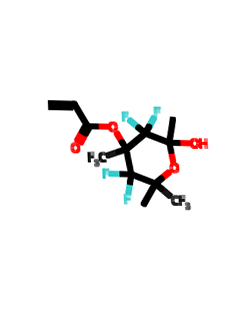 C=CC(=O)OC1(C(F)(F)F)C(F)(F)C(C)(O)OC(C)(C(F)(F)F)C1(F)F